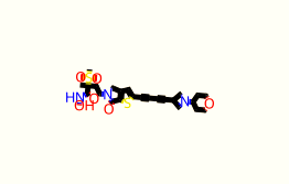 CC(CCN1Cc2cc(C#CC#CC3CN(C4CCOCC4)C3)sc2C1=O)(C(=O)NO)S(C)(=O)=O